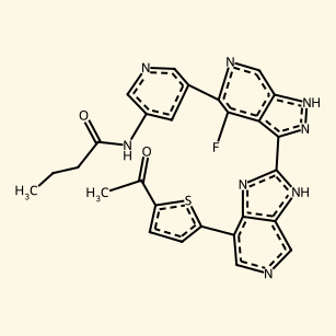 CCCC(=O)Nc1cncc(-c2ncc3[nH]nc(-c4nc5c(-c6ccc(C(C)=O)s6)cncc5[nH]4)c3c2F)c1